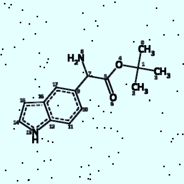 CC(C)(C)OC(=O)C(N)c1ccc2[nH]ccc2c1